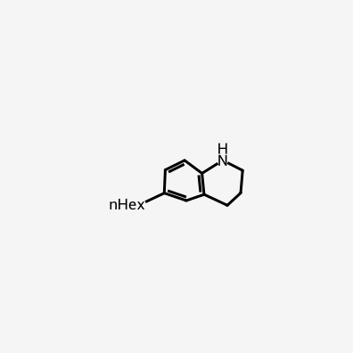 [CH2]CCCCCc1ccc2c(c1)CCCN2